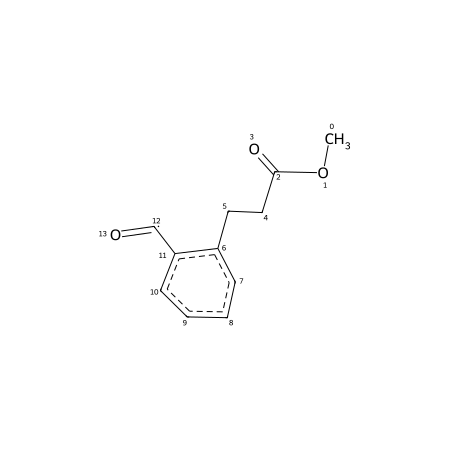 COC(=O)CCc1ccccc1[C]=O